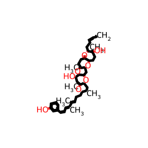 C=C/C=C\CCC1OC2CCC3(C)OC4C(O)CC5(C)OC(CC/C=C(C)/C(C)=C/C=C\c6cccc(O)c6)C(C)CC5OC4CC3OC2CCC1(C)O